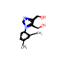 Cc1ccc(-n2cnc(CO)c2CO)c(C)c1